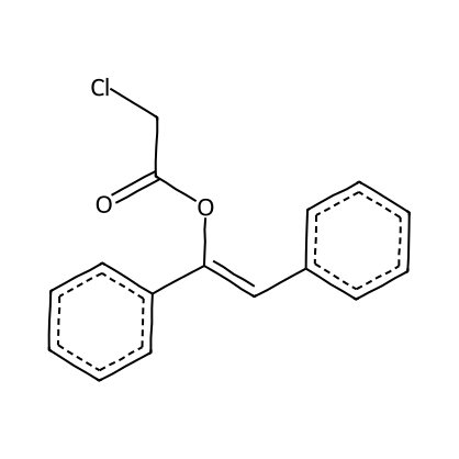 O=C(CCl)OC(=Cc1ccccc1)c1ccccc1